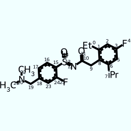 CCc1cc(F)cc(C(C)C)c1CC(=O)N=[SH](=O)c1ccc(CN(C)C)cc1F